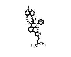 C[C@H](Nc1ncnc2[nH]ccc(=O)c12)c1c(Cl)c2cccc(-c3cnn(CCN(C)C)c3)c2c(=O)n1-c1ccccc1